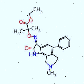 CCOC(=O)C(C)(C)ON=C1C(=O)Nc2c1cc(-c1ccccc1)c1c2CN(C)CC1